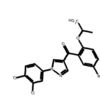 CC(Oc1ccc(Br)cc1C(=O)c1cnn(-c2ccc(Cl)c(Cl)c2)c1)C(=O)O